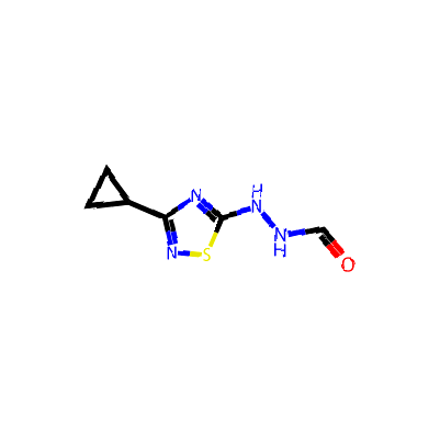 O=CNNc1nc(C2CC2)ns1